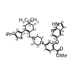 COC(=O)c1ccc(N2CCN(CC3=C(c4cc(C(C)C)cs4)CC(C)(C)CC3)CC2)cc1Oc1cnc2[nH]ccc2c1